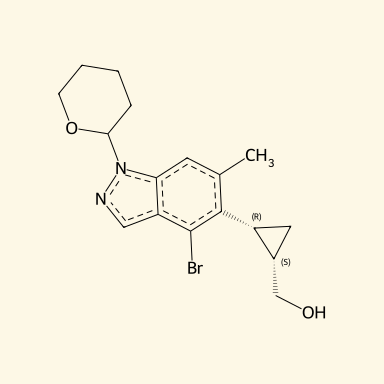 Cc1cc2c(cnn2C2CCCCO2)c(Br)c1[C@@H]1C[C@@H]1CO